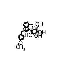 CCOc1ccc(Cn2cc([C@@H]3O[C@H](CO)[C@@H](O)[C@H](O)[C@H]3O)c3c(F)cccc32)cc1